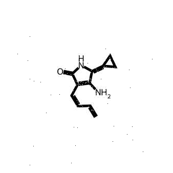 C=C/C=C\C1=C(N)C(=C2CC2)NC1=O